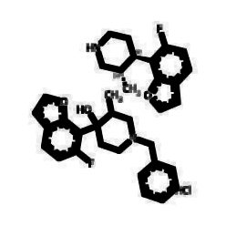 CC1CN(Cc2ccccc2)CCC1(O)c1c(F)ccc2ccoc12.C[C@@H]1CNCC[C@H]1c1c(F)ccc2ccoc12.Cl